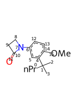 CCCC(C)(C)c1cc(N2CCC2=O)ccc1OC